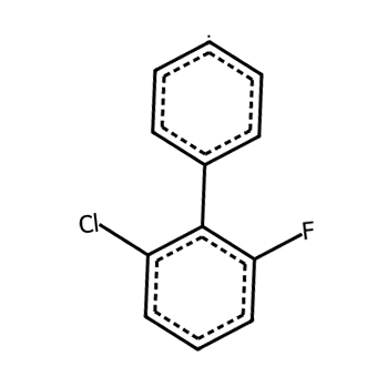 Fc1cccc(Cl)c1-c1cc[c]cc1